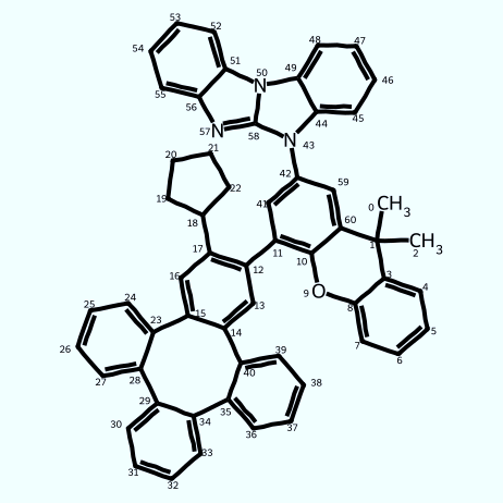 CC1(C)c2ccccc2Oc2c(-c3cc4c(cc3C3CCCC3)-c3ccccc3-c3ccccc3-c3ccccc3-4)cc(-n3c4ccccc4n4c5ccccc5nc34)cc21